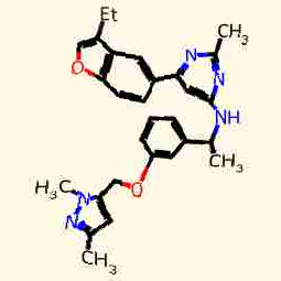 CCc1coc2ccc(-c3cc(NC(C)c4cccc(OCc5cc(C)nn5C)c4)nc(C)n3)cc12